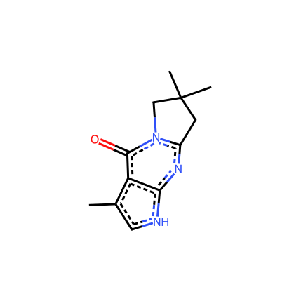 Cc1c[nH]c2nc3n(c(=O)c12)CC(C)(C)C3